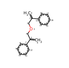 C=C(COCC(=C)c1ccccc1)c1ccccc1